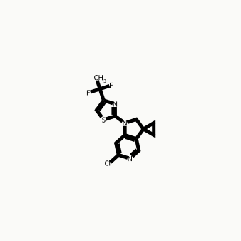 CC(F)(F)c1csc(N2CC3(CC3)c3cnc(Cl)cc32)n1